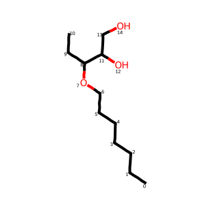 CCCCCCCOC(CC)C(O)CO